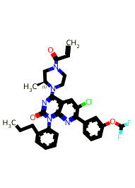 C=CC(=O)N1CCN(c2nc(=O)n(-c3ccccc3CCC)c3nc(-c4cccc(OC(F)F)c4)c(Cl)cc23)[C@@H](C)C1